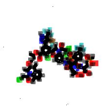 CC(C)OC(=O)c1cc(-c2nn(C)c(C(F)(F)F)c2Br)c(F)cc1Cl.CC1COc2ccccc2N1C(=O)C(Cl)Cl.CCc1cccc(C)c1N(C(=O)CCl)C(C)COC.CP(=O)(O)CCC(N)C(=O)O.CS(=O)(=O)c1cc(C(F)(F)F)ccc1C(=O)c1cnoc1C1CC1